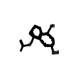 C=C(C)Oc1cccc2c(O)cc(O)cc12